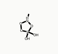 C[SiH]1OO[Si](O)(O)O1